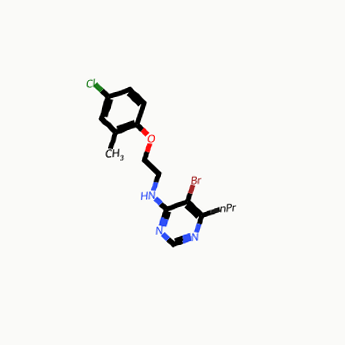 CCCc1ncnc(NCCOc2ccc(Cl)cc2C)c1Br